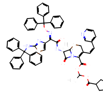 CC(OC(=O)C1=C(/C=C\c2cccnc2)CS[C@@H]2[C@H](NC(=O)/C(=N/OC(c3ccccc3)(c3ccccc3)c3ccccc3)c3csc(NC(c4ccccc4)(c4ccccc4)c4ccccc4)n3)C(=O)N12)OC(=O)C1CCCC1